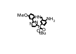 COc1cccc(-c2nccc(N(C(=O)OC(C)(C)C)c3ccc(N)c(C=N)c3)n2)c1